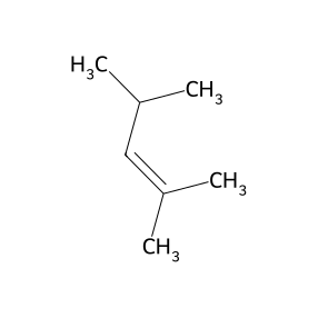 CC(C)=CC(C)C